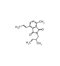 C=CC(C)CN1C(=O)c2c(C)ccc(/C=C/C)c2C1=O